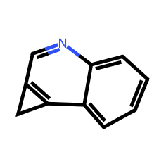 c1ccc2c3c(cnc2c1)C3